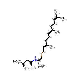 C=C(CC(=C)C(=O)O)N[C@@H](CSC/C=C(\C)CC/C=C(\C)CCC=C(C)C)C(=O)O